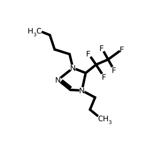 CCCCN1N=CN(CCC)C1C(F)(F)C(F)(F)F